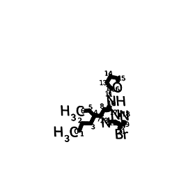 CCCCC(CC)c1cc(NC[C@@H]2CCCO2)n2ncc(Br)c2n1